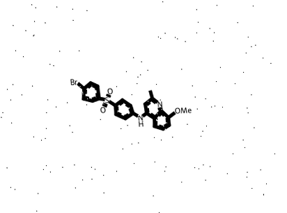 COc1cccc2c(Nc3ccc(S(=O)(=O)c4ccc(Br)cc4)cc3)cc(C)nc12